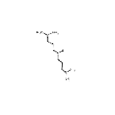 CN(N)CCCN(I)CCCN(N)N